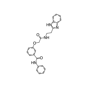 O=C(COc1cccc(C(=O)Nc2ccccc2)c1)NCCc1nc2ccccc2[nH]1